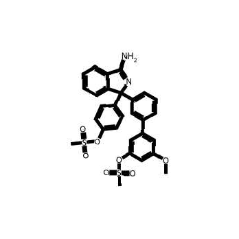 COc1cc(OS(C)(=O)=O)cc(-c2cccc(C3(c4ccc(OS(C)(=O)=O)cc4)N=C(N)c4ccccc43)c2)c1